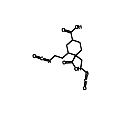 O=C=NCCC1CC(C(=O)O)CCC1(CCN=C=O)C(=O)O